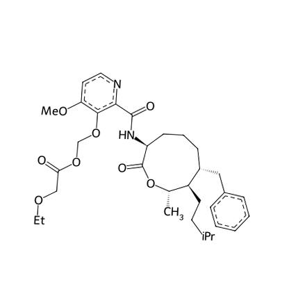 CCOCC(=O)OCOc1c(OC)ccnc1C(=O)N[C@H]1CCC[C@H](Cc2ccccc2)[C@@H](CCC(C)C)[C@H](C)OC1=O